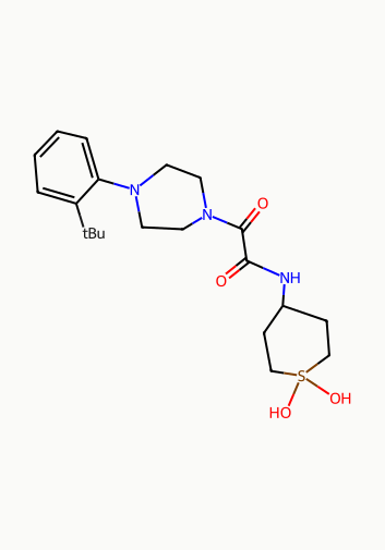 CC(C)(C)c1ccccc1N1CCN(C(=O)C(=O)NC2CCS(O)(O)CC2)CC1